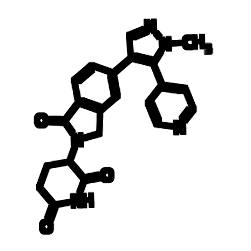 Cn1ncc(-c2ccc3c(c2)CN(C2CCC(=O)NC2=O)C3=O)c1-c1ccncc1